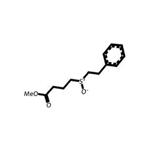 COC(=O)CCC[S+]([O-])CCc1ccccc1